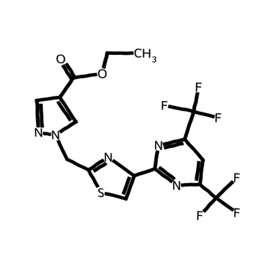 CCOC(=O)c1cnn(Cc2nc(-c3nc(C(F)(F)F)cc(C(F)(F)F)n3)cs2)c1